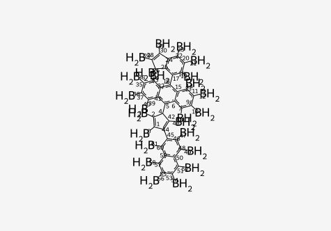 BC1=C(B)C(c2c3c(B)c(B)c(B)c(B)c3c(-c3c(B)c(B)c(B)c4c3C(B)C(B)=C4B)c3c(B)c(B)c(B)c(B)c23)C(B)=C1c1c(B)c(B)c2c(B)c(B)c(B)c(B)c2c1B